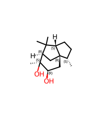 C[C@H]1CC[C@H]2C(C)(C)[C@H]3C[C@@]12C[C@@H](O)[C@@]3(C)O